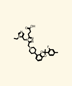 CCn1cncc1Cn1c(CCC(=O)O)nnc1CN1CCC(c2cccc3c2OC(C)(c2ccc(C)cc2F)O3)CC1